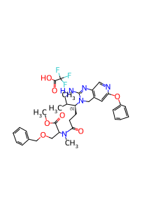 COC(=O)C(COCc1ccccc1)N(C)C(=O)CC[C@@H](C(C)C)N1Cc2cc(Oc3ccccc3)ncc2N=C1N.O=C(O)C(F)(F)F